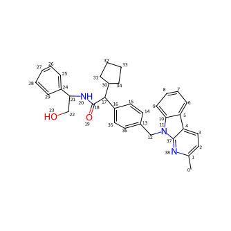 Cc1ccc2c3ccccc3n(Cc3ccc(C(C(=O)NC(CO)c4ccccc4)C4CCCC4)cc3)c2n1